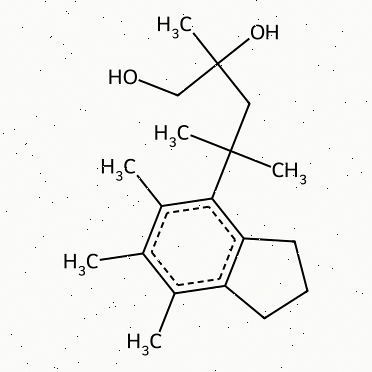 Cc1c(C)c2c(c(C(C)(C)CC(C)(O)CO)c1C)CCC2